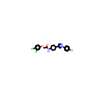 O=C(COc1ccc(Cl)c(F)c1)NC1CCC(c2cnn(-c3ccc(Cl)cc3)c2)CC1